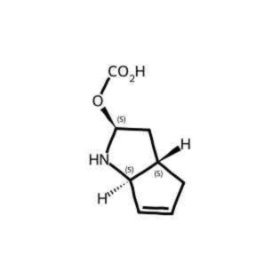 O=C(O)O[C@H]1C[C@@H]2CC=C[C@H]2N1